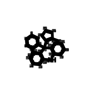 CC1=C(C2(c3ccccc3C)c3ccccc3Nc3ccccc32)CC=C1